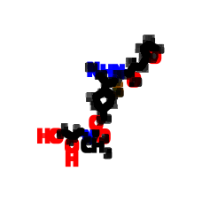 CN(CC(O)CO)C(=O)OCC1CCc2c(sc(NC(=O)C=Cc3ccco3)c2C#N)C1